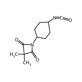 CC1(C)C(=O)N(C2CCC(N=C=O)CC2)C1=O